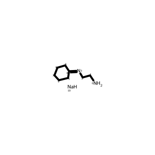 NCCN=C1CCCCC1.[NaH]